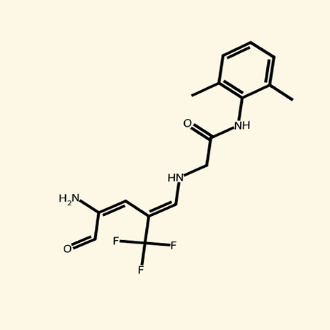 Cc1cccc(C)c1NC(=O)CN/C=C(\C=C(\N)C=O)C(F)(F)F